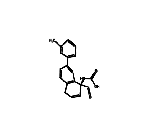 Cc1cccc(-c2ccc3c(c2)[C@@](C=O)(NC(=O)O)C=CC3)c1